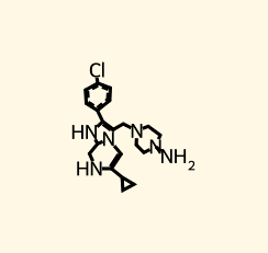 NN1CCN(CC2=C(c3ccc(Cl)cc3)NC3CNC(C4CC4)=CN23)CC1